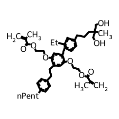 C=C(C)C(=O)OCCOc1cc(-c2ccc(CCCC(C)(CO)CO)cc2CC)c(OCCOC(=O)C(=C)C)cc1CCc1ccc(CCCCC)cc1